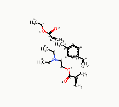 C=C(C)C(=O)OCCN(CC)CC.C=CC(=O)OCC.C=Cc1ccc(C)cc1